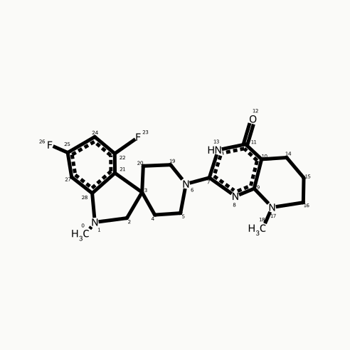 CN1CC2(CCN(c3nc4c(c(=O)[nH]3)CCCN4C)CC2)c2c(F)cc(F)cc21